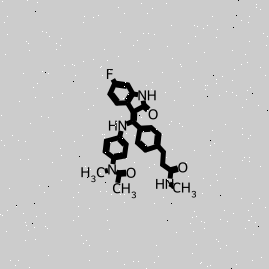 CNC(=O)CCc1ccc(C(Nc2ccc(N(C)C(C)=O)cc2)=C2C(=O)Nc3cc(F)ccc32)cc1